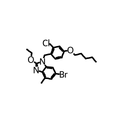 CCCCCOc1ccc(Cn2c(OCC)nc3c(C)cc(Br)cc32)c(Cl)c1